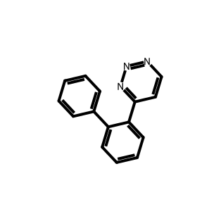 c1ccc(-c2ccccc2-c2ccnnn2)cc1